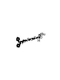 CC(C)(C)OC(=O)NCCOCCOCCOCCOCC(F)CN(Cc1ccccc1)Cc1ccccc1